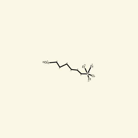 CCCCCCCCCCCCCCP(Cl)(CC)(CC)CC